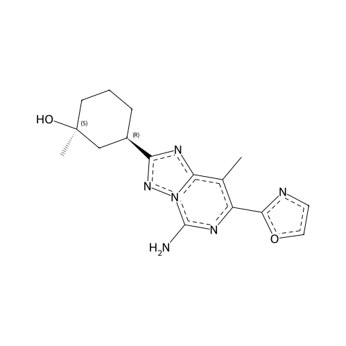 Cc1c(-c2ncco2)nc(N)n2nc([C@@H]3CCC[C@](C)(O)C3)nc12